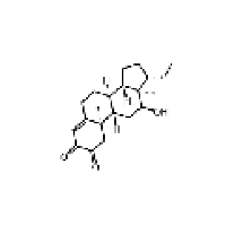 CC[C@H]1CC[C@H]2[C@@H]3CCC4=CC(=O)C(=O)C[C@]4(C)[C@H]3C[C@H](O)[C@]12C